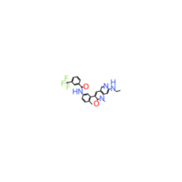 CCNc1cc2c(cn1)cc(-c1cc(NC(=O)c3cccc(C(F)(F)F)c3)ccc1C)c(=O)n2C